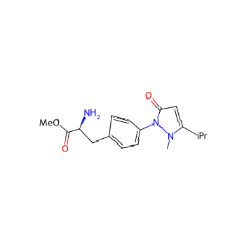 COC(=O)[C@@H](N)Cc1ccc(-n2c(=O)cc(C(C)C)n2C)cc1